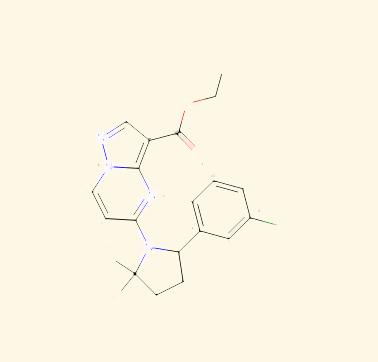 CCOC(=O)c1cnn2ccc(N3C(c4cccc(F)c4)CCC3(C)C)nc12